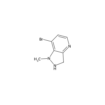 CN1NCc2nccc(Br)c21